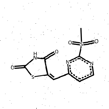 CS(=O)(=O)c1nccc(C=C2SC(=O)NC2=O)n1